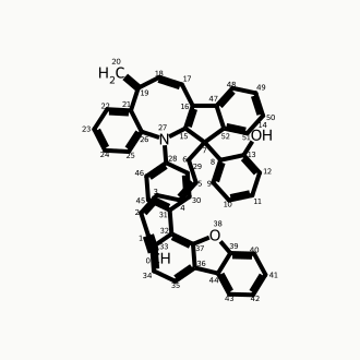 C#C/C=C\C=C/CC1(c2ccccc2O)C2=C(/C=C\C(=C)c3ccccc3N2c2ccc(-c3cccc4c3oc3ccccc34)cc2)c2ccccc21